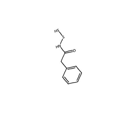 O=C(Cc1ccccc1)NSS